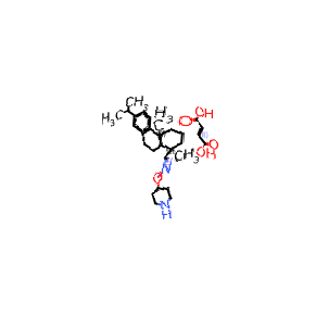 CC(C)c1ccc2c(c1)CCC1[C@@](C)(/C=N/OC3CCNCC3)CCC[C@]21C.O=C(O)/C=C/C(=O)O